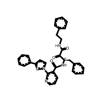 O=C(NCCc1ccccc1)C(=O)[C@@H](Cc1ccccc1)NC(=O)c1cccnc1-n1ccc(-c2ccccc2)n1